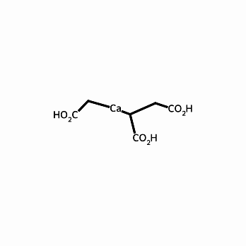 O=C(O)[CH2][Ca][CH](CC(=O)O)C(=O)O